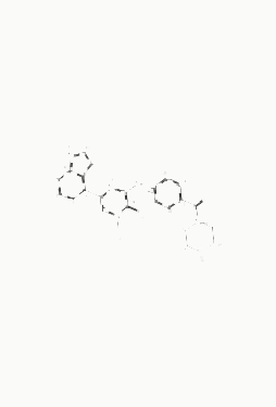 Cn1cc(-c2cccc3[nH]ccc23)nc(Nc2ccc(C(=O)N3CCOCC3)cc2)c1=O